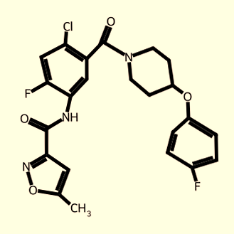 Cc1cc(C(=O)Nc2cc(C(=O)N3CCC(Oc4ccc(F)cc4)CC3)c(Cl)cc2F)no1